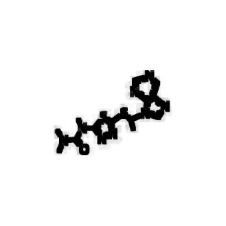 CC(Sc1nnc(N(C)C(=O)N(C)C)s1)n1cnc2cncnc21